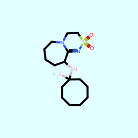 BC1(BC2CCCCN3CCS(=O)(=O)N=C23)CCCCCCC1